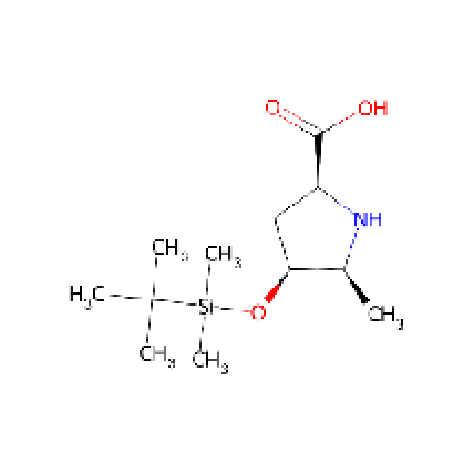 C[C@@H]1N[C@H](C(=O)O)C[C@@H]1O[Si](C)(C)C(C)(C)C